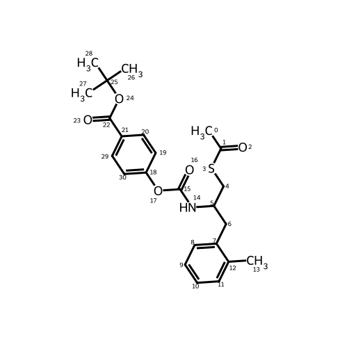 CC(=O)SCC(Cc1ccccc1C)NC(=O)Oc1ccc(C(=O)OC(C)(C)C)cc1